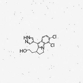 OCCC1CCn2c1c(-c1cn[nH]c1)c1ccc(Cl)c(Cl)c12